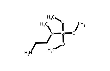 CO[Si](OC)(OC)N(C)CCN